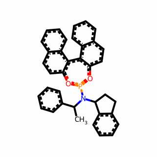 CC(c1ccccc1)N(C1CCc2ccccc21)p1oc2ccc3ccccc3c2c2c(ccc3ccccc32)o1